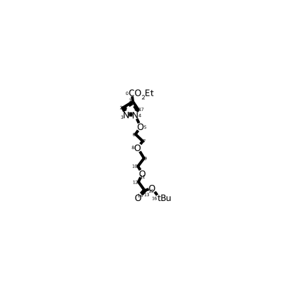 CCOC(=O)c1cnn(OCCOCCOCC(=O)OC(C)(C)C)c1